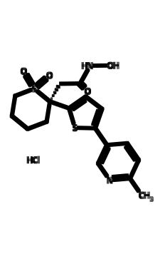 Cc1ccc(-c2ccc([C@@]3(CC(=O)NO)CCCCS3(=O)=O)s2)cn1.Cl